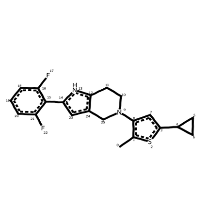 Cc1sc(C2CC2)cc1N1CCc2[nH]c(-c3c(F)cccc3F)cc2C1